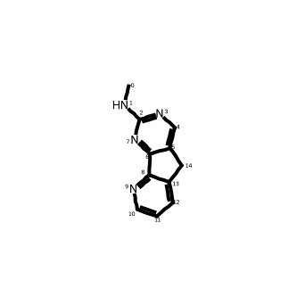 CNc1ncc2c(n1)-c1ncccc1C2